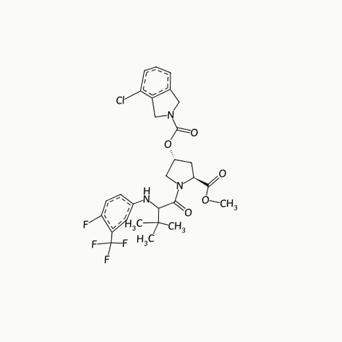 COC(=O)[C@@H]1C[C@@H](OC(=O)N2Cc3cccc(Cl)c3C2)CN1C(=O)C(Nc1ccc(F)c(C(F)(F)F)c1)C(C)(C)C